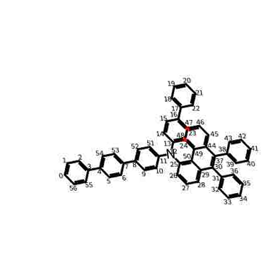 c1ccc(-c2ccc(-c3ccc(N(c4ccc(-c5ccccc5)cc4)c4cccc5c(-c6ccccc6)c(-c6ccccc6)c6ccccc6c45)cc3)cc2)cc1